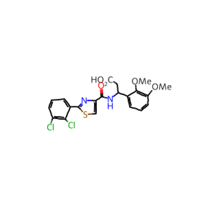 COc1cccc(C(CC(=O)O)NC(=O)c2csc(-c3cccc(Cl)c3Cl)n2)c1OC